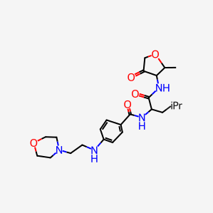 CC(C)CC(NC(=O)c1ccc(NCCN2CCOCC2)cc1)C(=O)NC1C(=O)COC1C